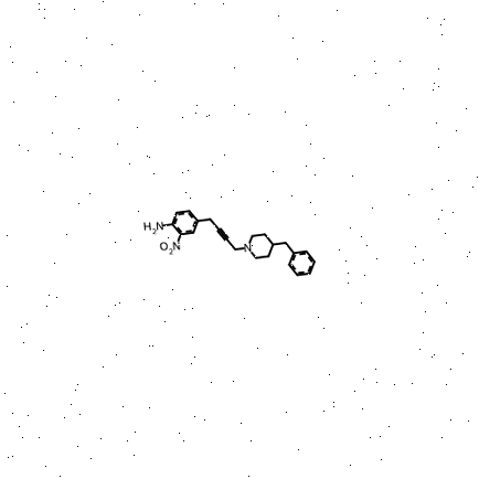 Nc1ccc(CC#CCN2CCC(Cc3ccccc3)CC2)cc1[N+](=O)[O-]